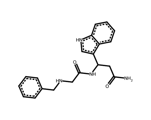 NC(=O)CC(NC(=O)CNCc1ccccc1)c1c[nH]c2ccccc12